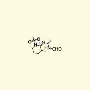 C=C(/N=C1\C(C)CCCN1S(C)(=O)=O)NC=O